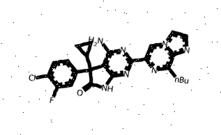 CCCCc1nc(-c2nc(N)c3c(n2)NC(=O)C3(c2ccc(Cl)c(F)c2)C2CC2)cn2ccnc12